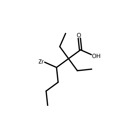 CCC[CH]([Zr])C(CC)(CC)C(=O)O